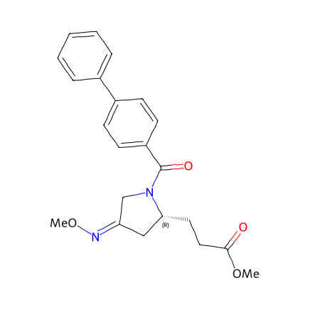 CON=C1C[C@@H](CCC(=O)OC)N(C(=O)c2ccc(-c3ccccc3)cc2)C1